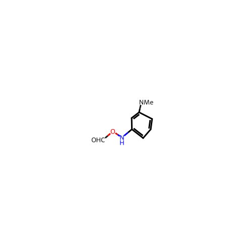 CNc1cccc(NOC=O)c1